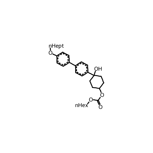 CCCCCCCOc1ccc(-c2ccc(C3(O)CCC(OC(=O)OCCCCCC)CC3)cc2)cc1